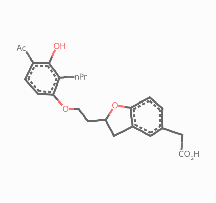 CCCc1c(OCCC2Cc3cc(CC(=O)O)ccc3O2)ccc(C(C)=O)c1O